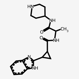 CC(NC(=O)C1CC1c1nc2ccccc2[nH]1)C(=O)NC1CCNCC1